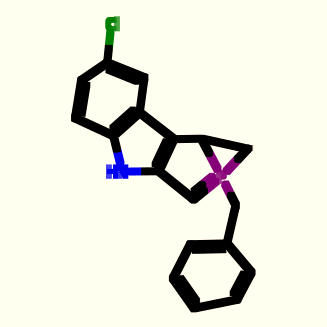 Clc1ccc2[nH]c3c(c2c1)C1CP1(Cc1ccccc1)=C3